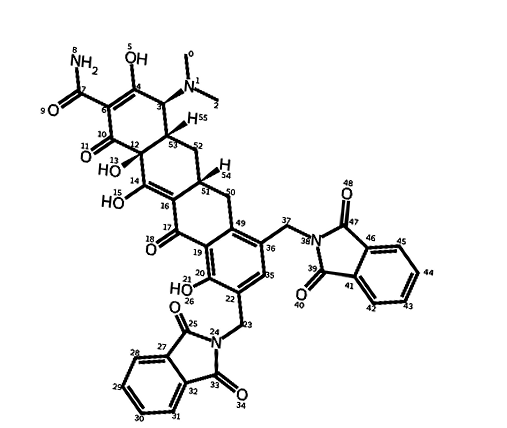 CN(C)[C@@H]1C(O)=C(C(N)=O)C(=O)[C@@]2(O)C(O)=C3C(=O)c4c(O)c(CN5C(=O)c6ccccc6C5=O)cc(CN5C(=O)c6ccccc6C5=O)c4C[C@H]3C[C@@H]12